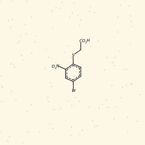 O=C(O)CSc1ccc(Br)cc1[N+](=O)[O-]